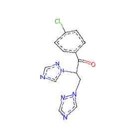 O=C(c1ccc(Cl)cc1)C(Cn1cncn1)n1cncn1